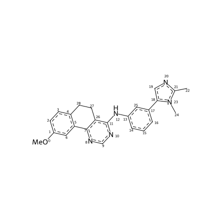 COc1ccc2c(c1)-c1ncnc(Nc3cccc(-c4cnc(C)n4C)c3)c1CC2